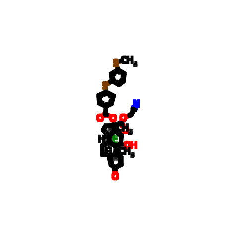 CSc1cccc(Sc2ccc(C(=O)O[C@@]3(C(=O)OCC#N)CC[C@H]4[C@@H]5CCC6=CC(=O)C=C[C@]6(C)C5(F)[C@@H](O)C[C@@]43C)cc2)c1